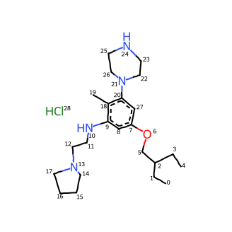 CCC(CC)COc1cc(NCCN2CCCC2)c(C)c(N2CCNCC2)c1.Cl